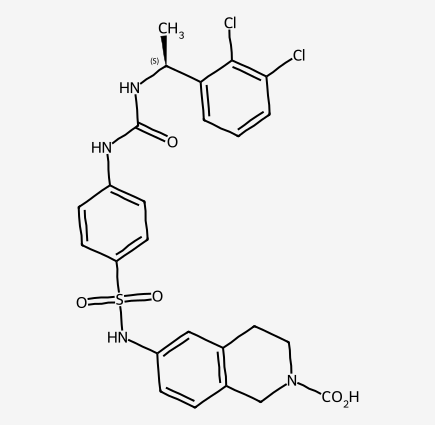 C[C@H](NC(=O)Nc1ccc(S(=O)(=O)Nc2ccc3c(c2)CCN(C(=O)O)C3)cc1)c1cccc(Cl)c1Cl